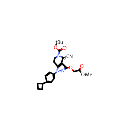 COC(=O)COc1nn(-c2ccc(C3CCC3)cc2)c2c1[C@H](C#N)N(C(=O)OC(C)(C)C)CC2